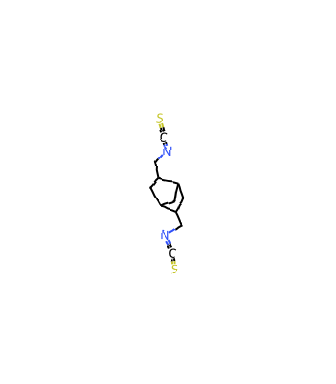 S=C=NCC1CC2CC1CC2CN=C=S